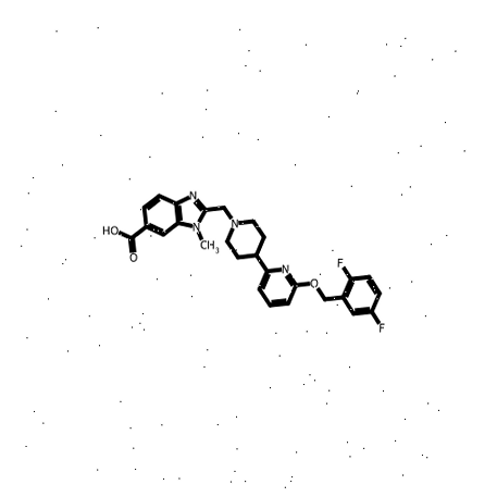 Cn1c(CN2CCC(c3cccc(OCc4cc(F)ccc4F)n3)CC2)nc2ccc(C(=O)O)cc21